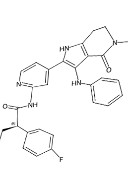 CC[C@@H](C(=O)Nc1cc(-c2[nH]c3c(c2Nc2ccccc2)C(=O)N(C)CC3)ccn1)c1ccc(F)cc1